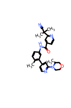 Cc1ccc(NC(=O)c2ccnc(C(C)(C)C#N)c2)cc1-c1ccnc(N2CCOCC2C)c1